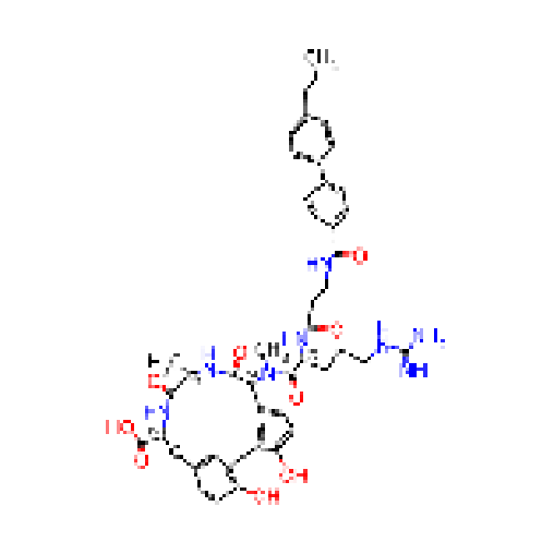 CCCc1ccc(-c2ccc(C(=O)NCCC(=O)N[C@@H](CCCNC(=N)N)C(=O)N(C)[C@@H]3C(=O)N[C@@H](C)C(=O)N[C@H](C(=O)O)Cc4ccc(O)c(c4)-c4cc3ccc4O)cc2)cc1